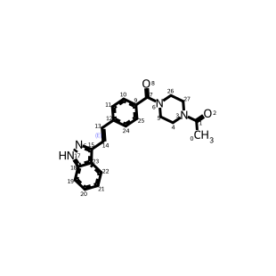 CC(=O)N1CCN(C(=O)c2ccc(/C=C/c3n[nH]c4ccccc34)cc2)CC1